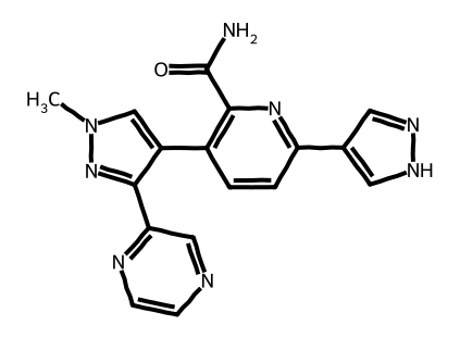 Cn1cc(-c2ccc(-c3cn[nH]c3)nc2C(N)=O)c(-c2cnccn2)n1